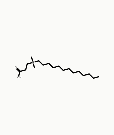 CCCCCCCCCCCCC[N+](C)(C)CCC(=O)O